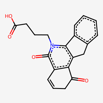 O=C(O)CCCn1c2c(c3c(c1=O)C=CCC3=O)Cc1ccccc1-2